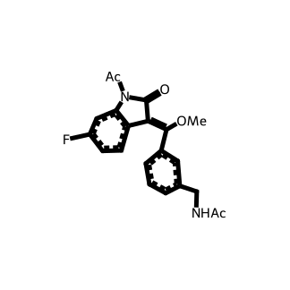 COC(=C1C(=O)N(C(C)=O)c2cc(F)ccc21)c1cccc(CNC(C)=O)c1